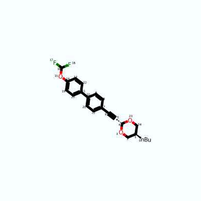 CCCC[C@H]1CO[C@H](C#Cc2ccc(-c3ccc(OC(F)F)cc3)cc2)OC1